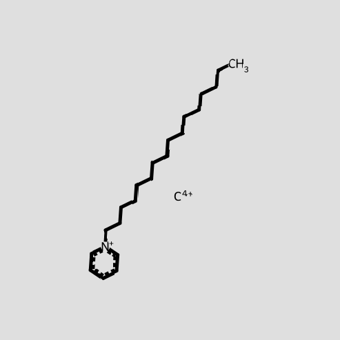 CCCCCCCCCCCCCCCC[n+]1ccccc1.[C+4]